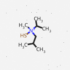 CC(C)C[N+](C)(S)C(C)C